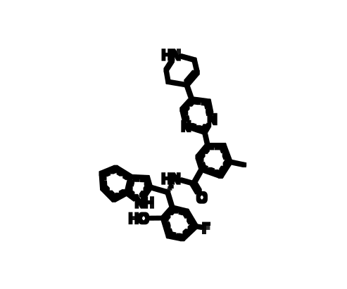 Cc1cc(C(=O)N[C@@H](c2cc3ccccc3[nH]2)c2cc(F)ccc2O)cc(-c2ncc(C3=CCNCC3)cn2)c1